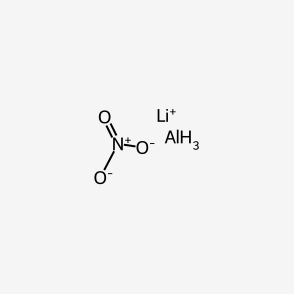 O=[N+]([O-])[O-].[AlH3].[Li+]